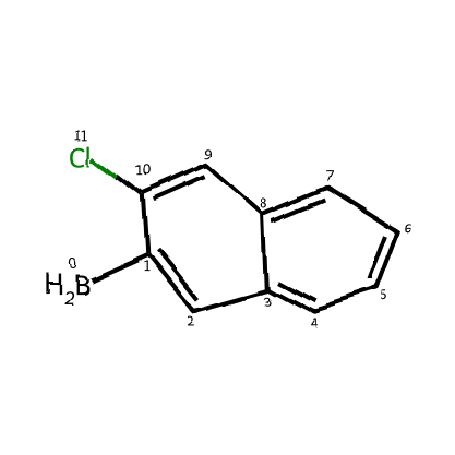 Bc1cc2ccccc2cc1Cl